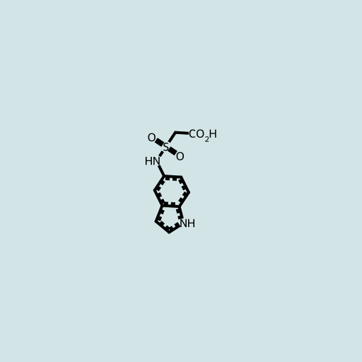 O=C(O)CS(=O)(=O)Nc1ccc2[nH]ccc2c1